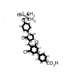 CC(C)(C)[Si](C)(C)OC1CCC(N2CC[C@@H](Cc3c(Cl)cc(-c4ccc(C(=O)O)cc4)cc3Cl)C2=O)CC1